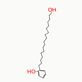 OCCCCCCCCCCCCCCCCCCc1ccccc1O